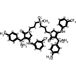 C[N+]([O-])(CCCN1CC(Nc2cccc(C(F)(F)F)c2)=C([C@H](N)c2ccc(N)cc2)C1=O)CCCN1CC(Nc2cccc(C(F)(F)F)c2)=C([C@H](N)c2ccc(N)cc2)C1=O